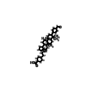 CC1(C)C(c2ccc(C=O)cc2)=CCC2(C)C1CCC1(C)C3CCC4(NCCN5CCC(C(=O)O)CC5)CCCC4C3CCC12